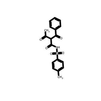 CC(=O)C(C(=O)NS(=O)(=O)c1ccc(C)cc1)C(=O)c1ccccc1